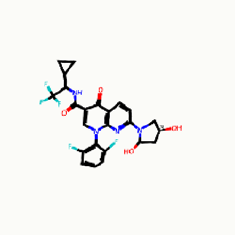 O=C(NC(C1CC1)C(F)(F)F)c1cn(-c2c(F)cccc2F)c2nc(N3C[C@@H](O)CC3O)ccc2c1=O